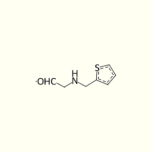 O=[C]CNCc1cccs1